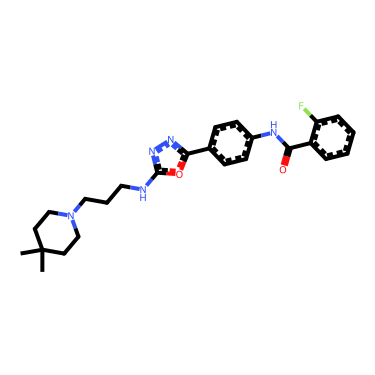 CC1(C)CCN(CCCNc2nnc(-c3ccc(NC(=O)c4ccccc4F)cc3)o2)CC1